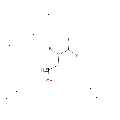 O[SiH2]CC(F)C(F)F